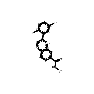 O=C(NO)c1ccc2ncc(-c3cc(F)ccc3F)nc2c1